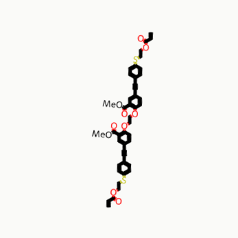 C=CC(=O)OCCSc1ccc(C#Cc2ccc(OCCOc3ccc(C#Cc4ccc(SCCOC(=O)C=C)cc4)cc3C(=O)OC)c(C(=O)OC)c2)cc1